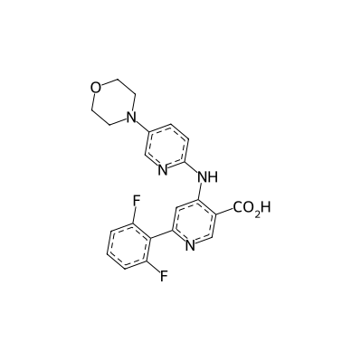 O=C(O)c1cnc(-c2c(F)cccc2F)cc1Nc1ccc(N2CCOCC2)cn1